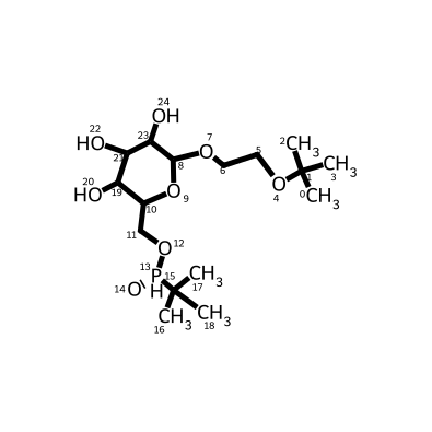 CC(C)(C)OCCOC1OC(CO[PH](=O)C(C)(C)C)C(O)C(O)C1O